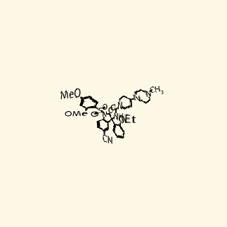 CCOc1ccccc1C1(NC(=O)N2CCC(N3CCN(C)CC3)CC2)C(=O)N(S(=O)(=O)c2ccc(OC)cc2OC)c2ccc(C#N)cc21